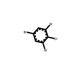 CCc1c(Br)cc(Br)cc1Br